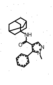 Cn1ncc(C(=O)NC23CC4CC(CC(C4)C2)C3)c1-c1ccccc1